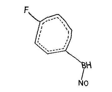 O=NBc1ccc(F)cc1